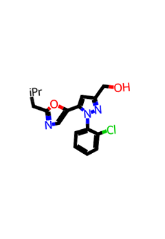 CC(C)Cc1ncc(-c2cc(CO)nn2-c2ccccc2Cl)o1